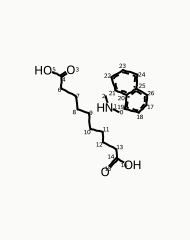 CNC.O=C(O)CCCCCCCCC(=O)O.c1ccc2ccccc2c1